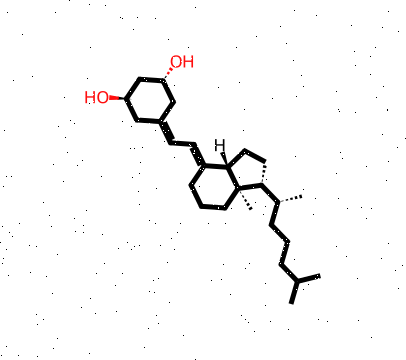 CC(C)CCC[C@@H](C)[C@H]1CC[C@H]2/C(=C/C=C3C[C@@H](O)C[C@H](O)C3)CCC[C@]12C